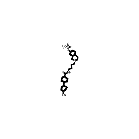 N#Cc1ccc(-c2ccc(C(=O)NCCCCN3CCc4ccc(OS(=O)(=O)C(F)(F)F)cc4C3)cc2)cc1